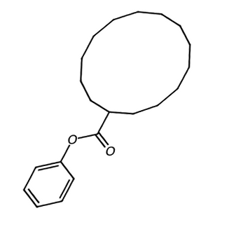 O=C(Oc1ccccc1)C1CCCCCCCCCCCCC1